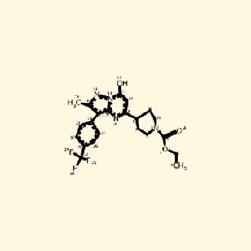 CCOC(=O)N1CCC(c2cc(O)n3nc(C)c(-c4ccc(C(F)(F)F)cc4)c3n2)CC1